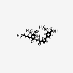 CCCCCC(C(=O)NCNC(=O)c1ccc(-c2ccc(C(=O)O)c(OCC)c2)o1)[C@@H](CC)N(O)C=O